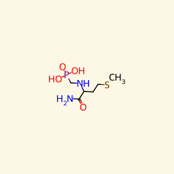 CSCCC(NCP(=O)(O)O)C(N)=O